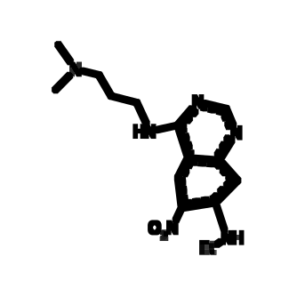 CCNc1cc2ncnc(NCCCN(C)C)c2cc1[N+](=O)[O-]